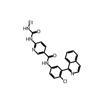 CCNC(=O)Nc1ccc(C(=O)Nc2ccc(Cl)c(-c3nccc4ccccc34)c2)cn1